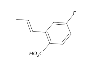 CC=Cc1cc(F)ccc1C(=O)O